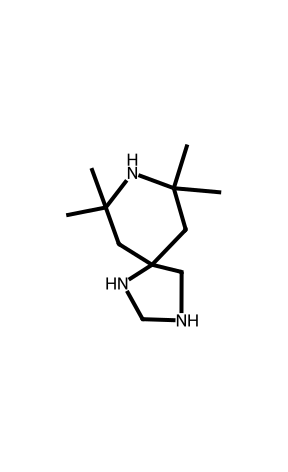 CC1(C)CC2(CNCN2)CC(C)(C)N1